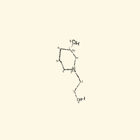 OCCN1CCC[C@H](O)C1